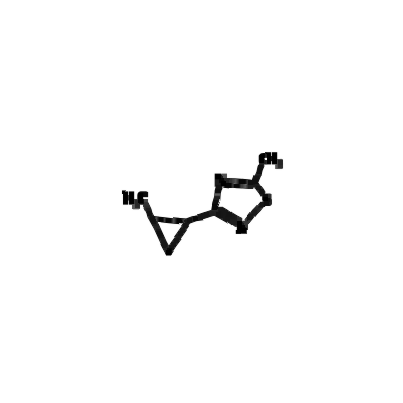 Cc1nc(C2CC2C)ns1